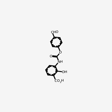 O=Cc1ccc(OC(=O)Nc2cccc(C(=O)O)c2O)cc1